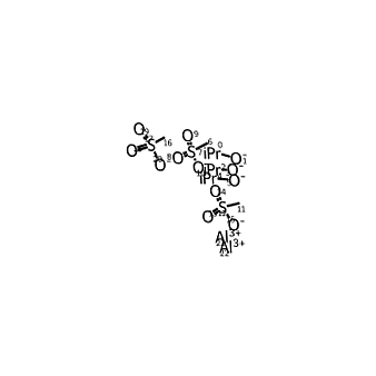 CC(C)[O-].CC(C)[O-].CC(C)[O-].CS(=O)(=O)[O-].CS(=O)(=O)[O-].CS(=O)(=O)[O-].[Al+3].[Al+3]